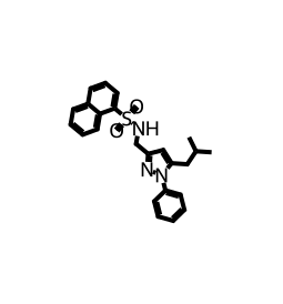 CC(C)Cc1cc(CNS(=O)(=O)c2cccc3ccccc23)nn1-c1ccccc1